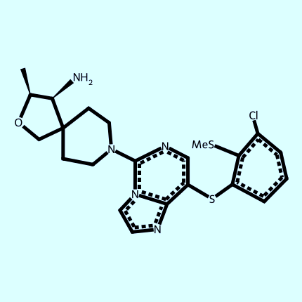 CSc1c(Cl)cccc1Sc1cnc(N2CCC3(CC2)CO[C@@H](C)[C@H]3N)n2ccnc12